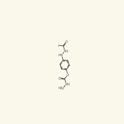 CCCCNC(=O)Oc1ccc(NNC(=O)I)cc1